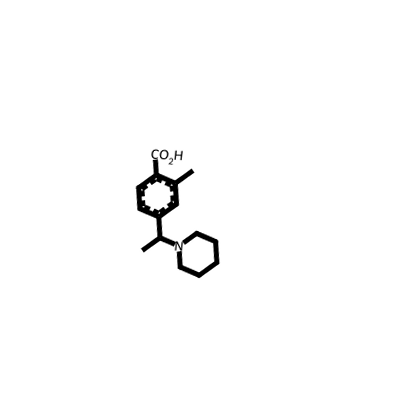 Cc1cc(C(C)N2CCCCC2)ccc1C(=O)O